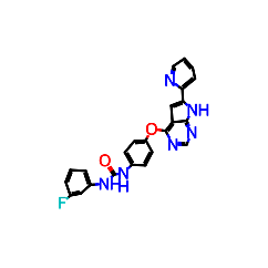 O=C(Nc1ccc(Oc2ncnc3[nH]c(-c4ccccn4)cc23)cc1)Nc1cccc(F)c1